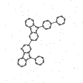 c1ccc(-c2ccc(-n3c4ccccc4c4cc(-c5cnc6c7ccccc7n(-c7ccccc7)c6c5)ccc43)cc2)cc1